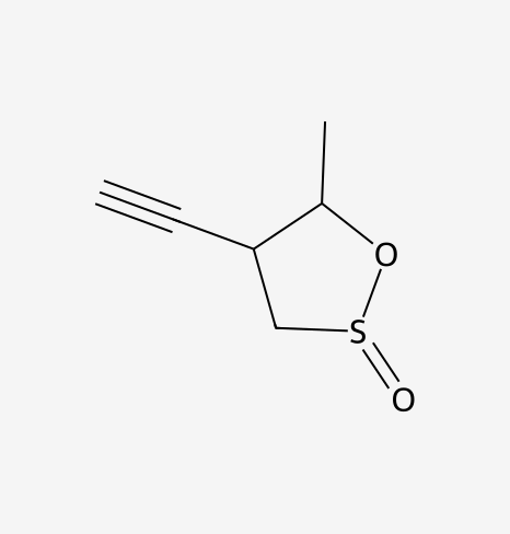 C#CC1CS(=O)OC1C